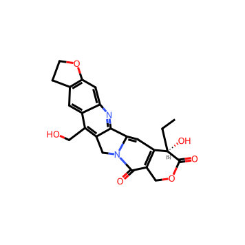 CC[C@@]1(O)C(=O)OCc2c1cc1n(c2=O)Cc2c-1nc1cc3c(cc1c2CO)CCO3